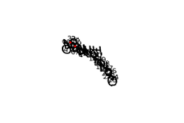 CN(C)C(=O)c1cc2cnc(Nc3ccc(N4CCN(c5ccc(C=O)cc5)CC4)cn3)nc2n1C1CCCC1